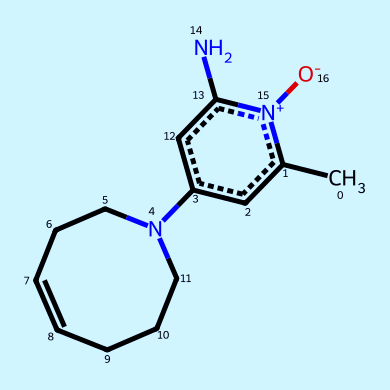 Cc1cc(N2CCC=CCCC2)cc(N)[n+]1[O-]